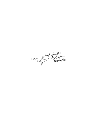 O=C1CC2(CCN(Cc3cc(O)c(-c4ccc(F)cc4)c(O)c3)CC2)CN1CCO